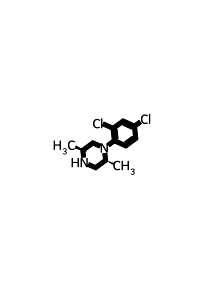 C[C@@H]1CN[C@@H](C)CN1c1ccc(Cl)cc1Cl